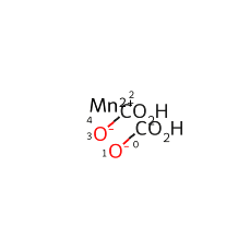 O=C([O-])O.O=C([O-])O.[Mn+2]